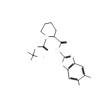 CC(C)(C)OC(=O)N1CCCCC1C(=O)Nc1nc2cc(F)c(F)cc2s1